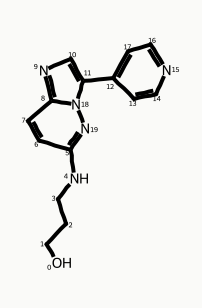 OCCCNc1ccc2ncc(-c3ccncc3)n2n1